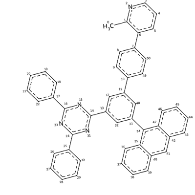 Cc1ncccc1-c1ccc(-c2cc(-c3nc(-c4ccccc4)nc(-c4ccccc4)n3)cc(-c3c4ccccc4cc4ccccc34)c2)cc1